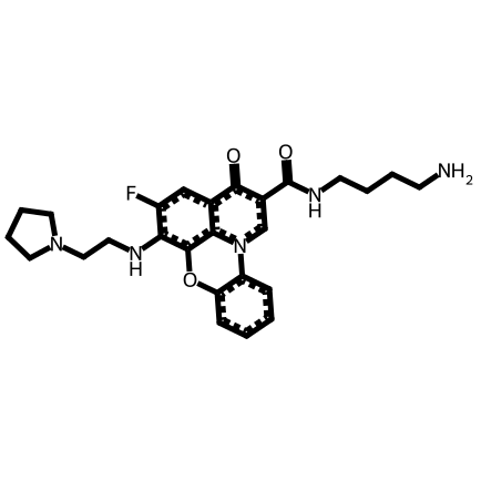 NCCCCNC(=O)c1cn2c3c(c(NCCN4CCCC4)c(F)cc3c1=O)Oc1ccccc1-2